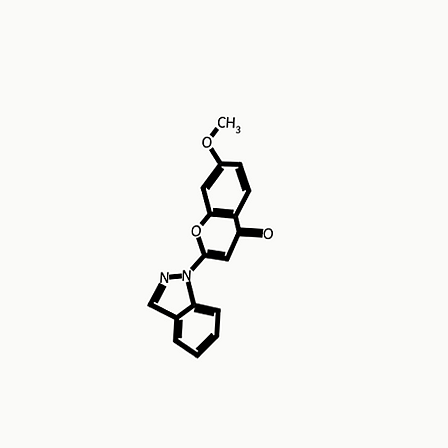 COc1ccc2c(=O)cc(-n3ncc4ccccc43)oc2c1